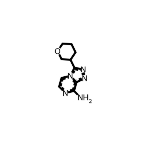 Nc1nccn2c(C3CCCOC3)nnc12